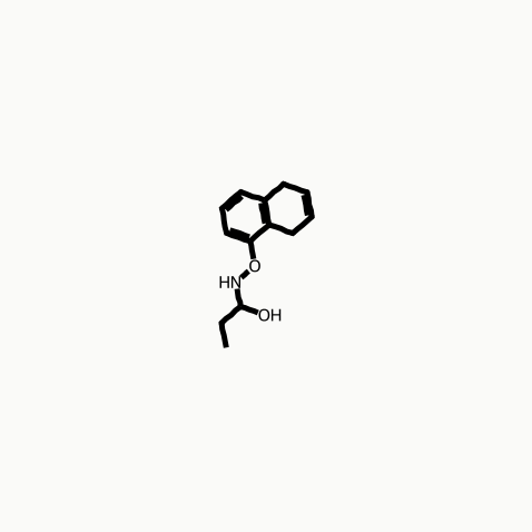 CCC(O)NOc1cccc2c1CC=CC2